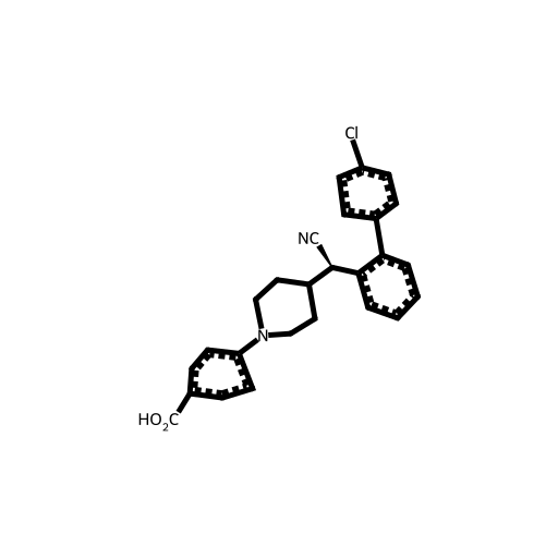 N#C[C@@H](c1ccccc1-c1ccc(Cl)cc1)C1CCN(c2ccc(C(=O)O)cc2)CC1